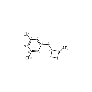 [O-][S+]1CCC1[CH]c1cc(Cl)cc(Cl)c1